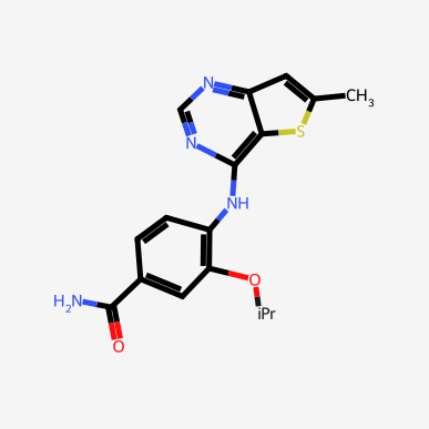 Cc1cc2ncnc(Nc3ccc(C(N)=O)cc3OC(C)C)c2s1